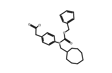 O=C(Cl)Cc1ccc(N(CC2CCCCCCC2)C(=O)OCc2ccccc2)cc1